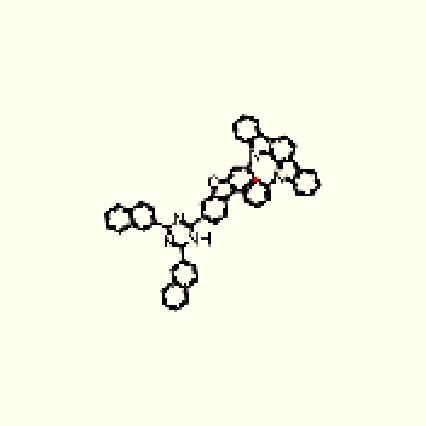 c1ccc(-n2c3ccccc3c3ccc4c5ccccc5n(-c5ccc6c(c5)oc5cc(C7=NC(c8ccc9ccccc9c8)=NC(c8ccc9ccccc9c8)N7)ccc56)c4c32)cc1